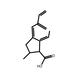 C=CC(=C)/C=C1/CC(C)C(C(=O)O)/C1=C/C